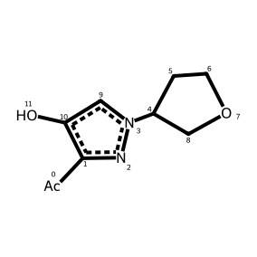 CC(=O)c1nn(C2CCOC2)cc1O